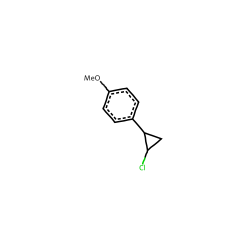 COc1ccc(C2C[C]2Cl)cc1